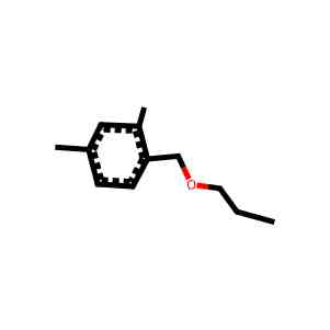 CCCOCc1ccc(C)cc1C